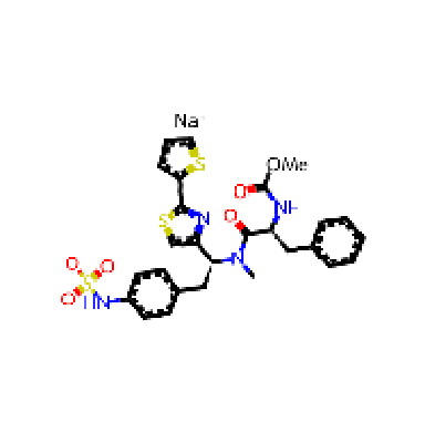 COC(=O)N[C@@H](Cc1ccccc1)C(=O)N(C)[C@@H](Cc1ccc(NS(=O)(=O)[O-])cc1)c1csc(-c2cccs2)n1.[Na+]